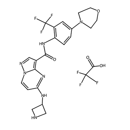 O=C(Nc1ccc(N2CCOCC2)cc1C(F)(F)F)c1cnn2ccc(NC3CNC3)nc12.O=C(O)C(F)(F)F